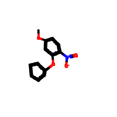 COc1ccc([N+](=O)[O-])c(Oc2ccccc2)c1